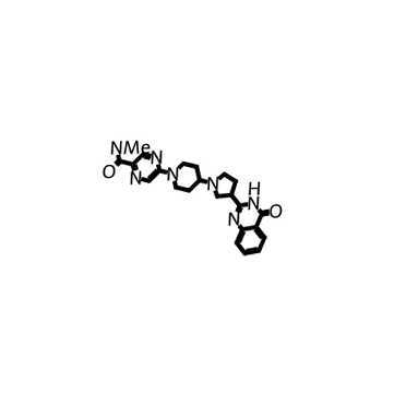 CNC(=O)c1cnc(N2CCC(N3CCC(c4nc5ccccc5c(=O)[nH]4)C3)CC2)cn1